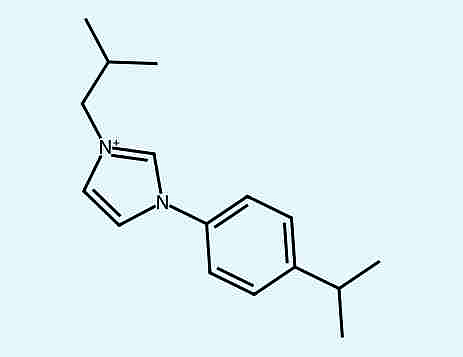 CC(C)C[n+]1ccn(-c2ccc(C(C)C)cc2)c1